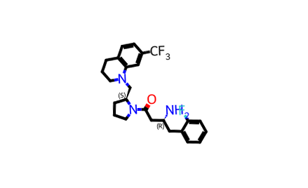 N[C@@H](CC(=O)N1CCC[C@H]1CN1CCCc2ccc(C(F)(F)F)cc21)Cc1ccccc1F